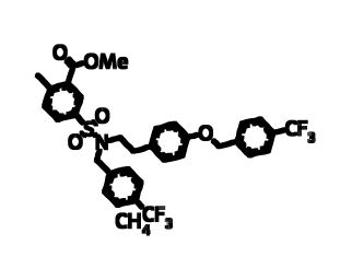 C.COC(=O)c1cc(S(=O)(=O)N(CCc2ccc(OCc3ccc(C(F)(F)F)cc3)cc2)Cc2ccc(C(F)(F)F)cc2)ccc1C